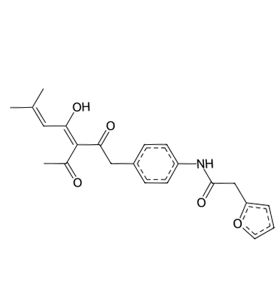 CC(=O)/C(C(=O)Cc1ccc(NC(=O)Cc2ccco2)cc1)=C(/O)C=C(C)C